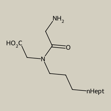 CCCCCCCCCCN(CC(=O)O)C(=O)CN